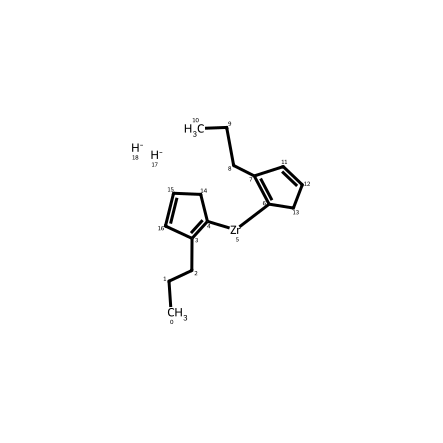 CCCC1=[C]([Zr][C]2=C(CCC)C=CC2)CC=C1.[H-].[H-]